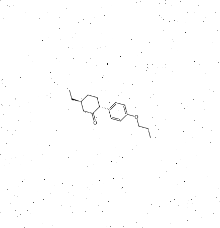 CCCOc1ccc([C@H]2CC[C@H](CC)CC2=O)cc1